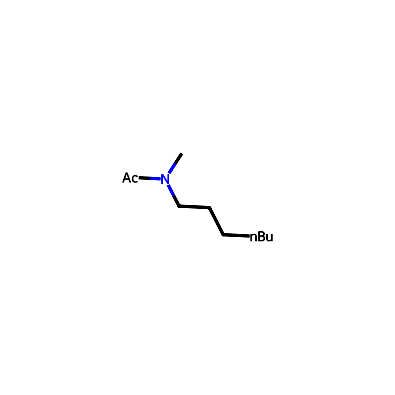 CCCCCCCN(C)C(C)=O